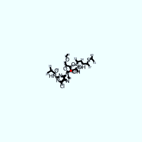 CCOCC1O[C@@H](n2cnc3c(Cl)nc(NC(=O)C(C)C)nc32)[C@H](O)[C@@H]1O[Si](O)(C(C)C)C(C)CCC(C)SC(C)C